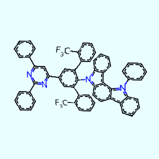 FC(F)(F)c1ccccc1-c1cc(-c2cc(-c3ccccc3)nc(-c3ccccc3)n2)cc(-c2ccccc2C(F)(F)F)c1-n1c2ccccc2c2c1ccc1c3ccccc3n(-c3ccccc3)c12